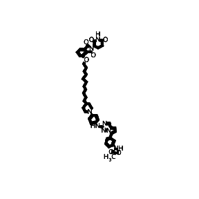 CS(=O)(=O)Nc1cccc(-c2ccc3cnc(Nc4ccc(N5CCC(CCCCCCCCCCCOc6cccc7c6C(=O)N(C6CCC(=O)NC6=O)C7=O)CC5)cc4)nn23)c1